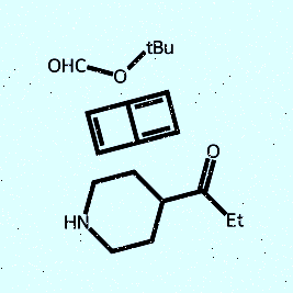 CC(C)(C)OC=O.CCC(=O)C1CCNCC1.c1cc2ccc1-2